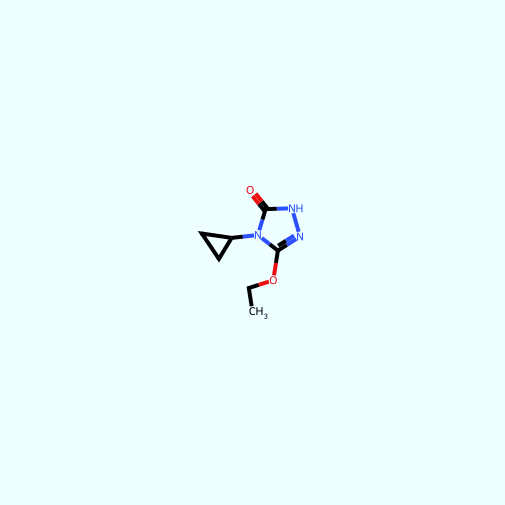 CCOc1n[nH]c(=O)n1C1CC1